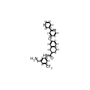 NCc1cc(NC(=O)C2CCc3ccc(Oc4ccnc(-c5cccnc5)c4)cc3C2)cc(C(F)(F)F)c1